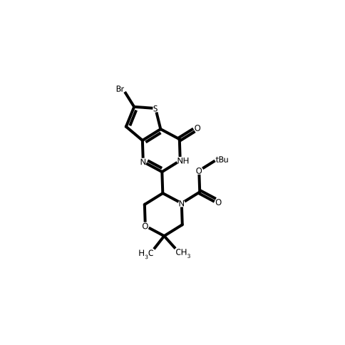 CC(C)(C)OC(=O)N1CC(C)(C)OCC1c1nc2cc(Br)sc2c(=O)[nH]1